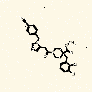 COC(=O)C1(Cc2cccc(Cl)c2Cl)CCN(C(=O)Cc2cncn2Cc2ccc(C#N)cc2)CC1